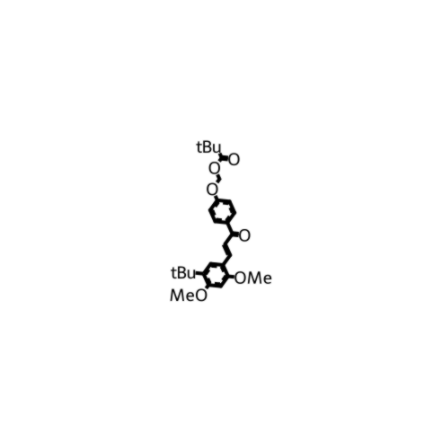 COc1cc(OC)c(C(C)(C)C)cc1C=CC(=O)c1ccc(OCOC(=O)C(C)(C)C)cc1